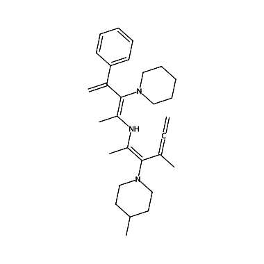 C=C=C(C)/C(=C(/C)N/C(C)=C(/C(=C)c1ccccc1)N1CCCCC1)N1CCC(C)CC1